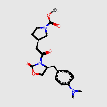 CN(C)c1ccc(C[C@H]2COC(=O)N2C(=O)C[C@H]2CCN(C(=O)OC(C)(C)C)C2)cc1